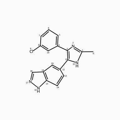 Cc1nc(-c2cccc(Cl)c2)c(-c2ccc3[nH]ncc3c2)[nH]1